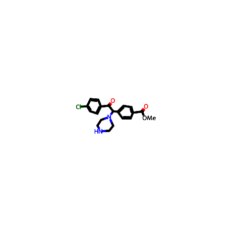 COC(=O)c1ccc(C(C(=O)c2ccc(Cl)cc2)N2CCNCC2)cc1